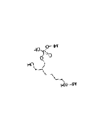 CC(C)NCCCCC(CO)COP(=O)(O)OC(C)C